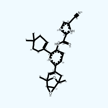 CC1(C)CC=C(c2nc(C3=CC4(C)OC(C)(C3)C3OC34)ccc2NC(=O)c2ncc(C#N)[nH]2)CC1